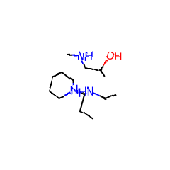 CCNC(CC)N1CCCCC1.CNCC(C)O